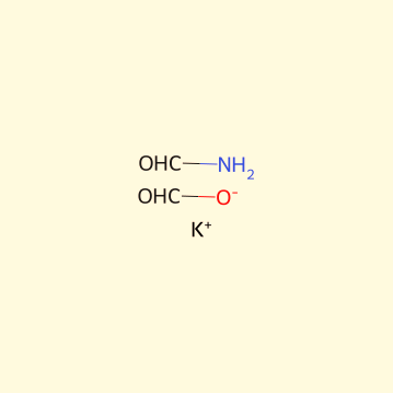 NC=O.O=C[O-].[K+]